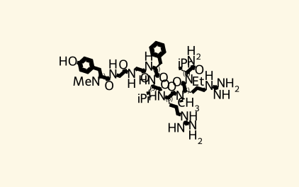 CCN(C(=O)[C@H](CCCNC(=N)N)N(C)C(=O)[C@H](CCCNC(=N)N)NC(=O)[C@H](CC(C)C)NC(=O)[C@H](Cc1ccccc1)NC(=O)CNC(=O)CNC(=O)[C@H](Cc1ccc(O)cc1)NC)[C@H](CC(C)C)C(N)=O